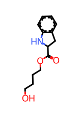 O=C(OCCCCO)C1Cc2ccccc2N1